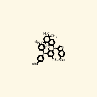 CCCCc1ccc(N(c2ccc(CCCC)cc2)c2cc(CCCC)cc(N(c3ccc4c(c3)C(C)(C)CCC4(C)C)c3csc4ccc(CCCC)cc34)c2Cl)cc1